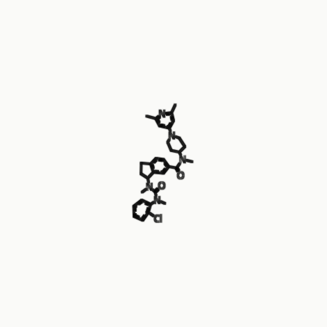 Cc1cc(N2CCC(N(C)C(=O)c3ccc4c(c3)C(N(C)C(=O)N(C)c3ccccc3Cl)CC4)CC2)cc(C)n1